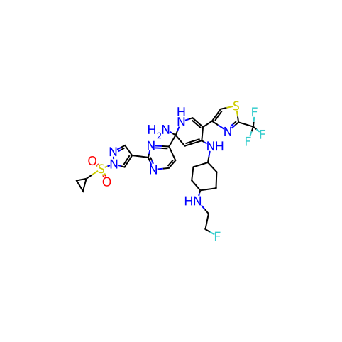 NC1(c2ccnc(-c3cnn(S(=O)(=O)C4CC4)c3)n2)C=C(NC2CCC(NCCF)CC2)C(c2csc(C(F)(F)F)n2)=CN1